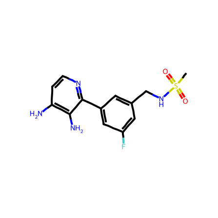 CS(=O)(=O)NCc1cc(F)cc(-c2nccc(N)c2N)c1